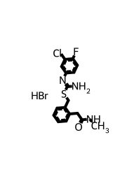 Br.CNC(=O)Cc1ccccc1CS/C(N)=N/c1ccc(F)c(Cl)c1